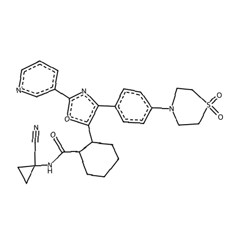 N#CC1(NC(=O)C2CCCCC2c2oc(-c3cccnc3)nc2-c2ccc(N3CCS(=O)(=O)CC3)cc2)CC1